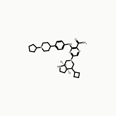 NC(=O)c1ncc(N2CC(C3CCC3)[C@H]3CCN[C@H]3C2)nc1Nc1ccc(C2CCN(C3CCCC3)CC2)cc1